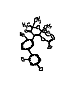 CCC(=O)OC1=C(c2cc(-c3ccc(Cl)cc3Cl)ccc2CC)C(=O)C(C)(C)OC1(C)C